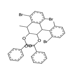 Cc1cccc(Br)c1C1c2c(Br)ccc(Br)c2C(C)C(OC(=O)c2ccccc2)C1OC(=O)c1ccccc1